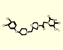 Cc1cn(CC(=O)N2CCOC(CN3CCC(Oc4ccc(Cl)c(Cl)c4)CC3)C2)c(=O)[nH]c1=O